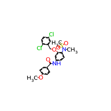 COc1ccc(C(=O)Nc2ccc(N(C)S(C)(=O)=O)c(OCc3cc(Cl)ccc3Cl)c2)cc1